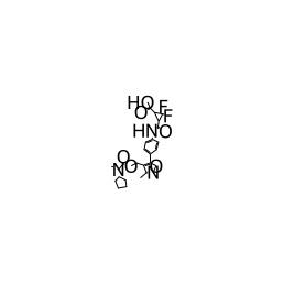 Cc1noc(-c2ccc(NC(=O)C3C(C(=O)O)C3(F)F)cc2)c1COC(=O)N(C)C1CCCC1